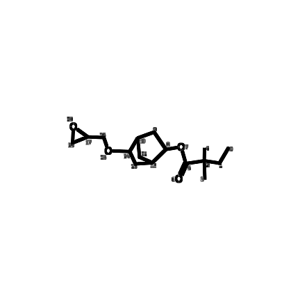 CCC(C)(C)C(=O)OC1CC2CC1CC2OCC1CO1